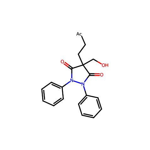 CC(=O)CCC1(CO)C(=O)N(c2ccccc2)N(c2ccccc2)C1=O